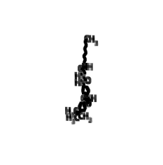 CCCCCCCCNC(=O)CNC(=O)Nc1ccc(NS(=O)(=O)c2ccc(C(C)(C)C)cc2)cc1